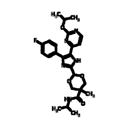 CC(C)NC(=O)C1(C)COC(c2nc(-c3ccc(F)cc3)c(-c3ccnc(OC(C)C)n3)[nH]2)OC1